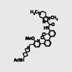 COc1nc(-c2cccc(-c3cccc(NC(=O)c4nc5c(n4C)CCN(C)C5)c3Cl)c2Cl)ccc1CN1CC2(CC(NC(C)=O)C2)C1